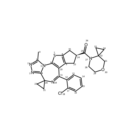 Cc1nnc2n1-c1sc3c(c1C(c1ccccc1Cl)=NC21CC1)C[C@H](C(=O)N1CCOCC12CC2)C3